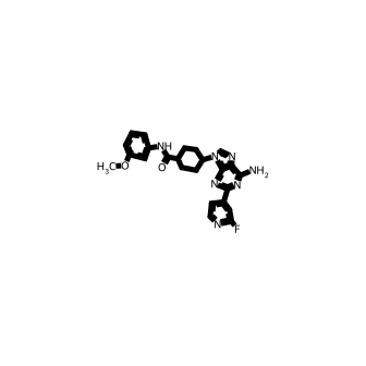 COc1cccc(NC(=O)C2CCC(n3cnc4c(N)nc(-c5ccnc(F)c5)nc43)CC2)c1